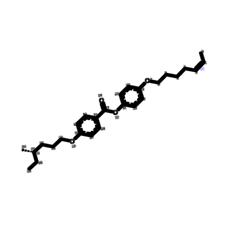 C/C=C\CCCCOc1ccc(OC(=O)c2ccc(OCCC[C@@H](C)CC)cc2)cc1